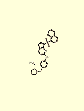 O=S(=O)(c1cccc2cccnc12)n1ccc2cnc(Nc3ccc(CN4CCC[C@@H]4CO)cc3)nc21